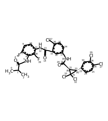 CC(C)C(=O)Nc1c(F)ccc(NC(=O)c2cc(NC(=O)[C@H]3[C@H](c4ccc(Cl)c(Cl)c4)C3(Cl)Cl)ccc2Cl)c1F